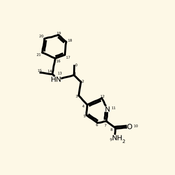 CC(CCc1ccc(C(N)=O)nc1)NC(C)c1ccccc1